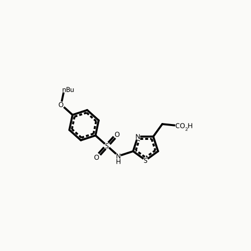 CCCCOc1ccc(S(=O)(=O)Nc2nc(CC(=O)O)cs2)cc1